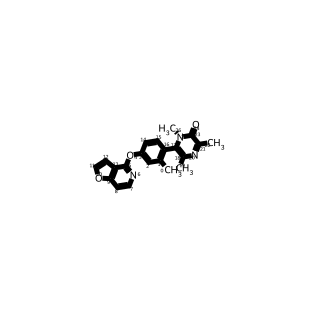 Cc1cc(Oc2nccc3occc23)ccc1-c1c(C)nc(C)c(=O)n1C